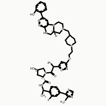 Cc1ncsc1-c1ccc(C(C)NC(=O)[C@@H]2C[C@@H](O)CN2C(=O)C(c2cc(OCCN3CCC(CN4CCN5c6cc(-c7ccccc7O)nnc6NC[C@H]5C4)CC3)no2)C(C)C)c(F)c1